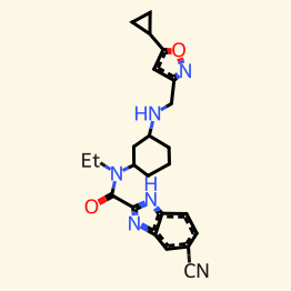 CCN(C(=O)c1nc2cc(C#N)ccc2[nH]1)C1CCCC(NCc2cc(C3CC3)on2)C1